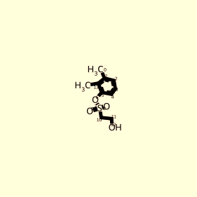 Cc1cccc(OS(=O)(=O)CCO)c1C